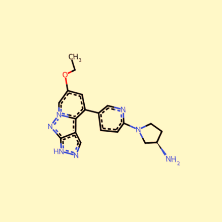 CCOc1cc(-c2ccc(N3CC[C@@H](N)C3)nc2)c2c3cn[nH]c3nn2c1